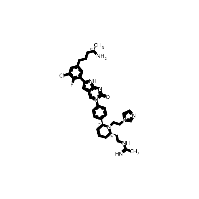 CC(=N)NCC[C@@H]1CCC[C@@H](c2ccc(-n3cc4cc(-c5cc(CCC[C@H](C)N)cc(Cl)c5F)[nH]c4nc3=O)cc2)N1CCn1ccnc1